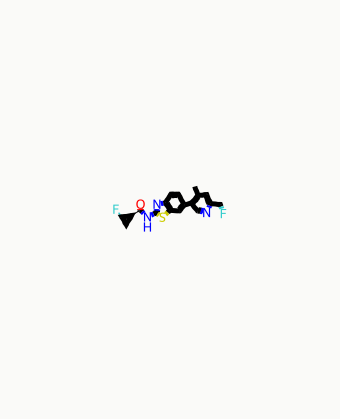 Cc1cc(CF)ncc1-c1ccc2nc(NC(=O)[C@@H]3C[C@@H]3F)sc2c1